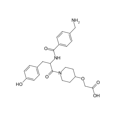 NCc1ccc(C(=O)NC(Cc2ccc(O)cc2)C(=O)N2CCC(OCC(=O)O)CC2)cc1